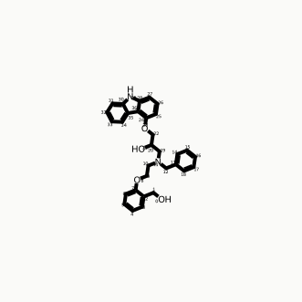 OCc1ccccc1OCCN(Cc1ccccc1)CC(O)COc1cccc2[nH]c3ccccc3c12